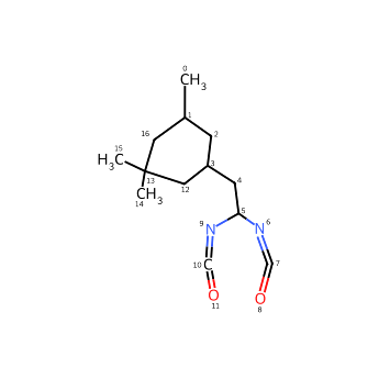 CC1CC(CC(N=C=O)N=C=O)CC(C)(C)C1